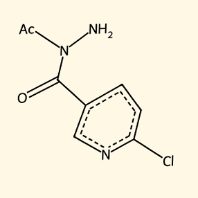 CC(=O)N(N)C(=O)c1ccc(Cl)nc1